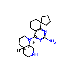 Nc1nc(N2CCC[C@H]3CCNC[C@@H]32)c2c(n1)C1(CCCC1)CCC2